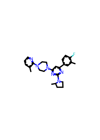 Cc1cc(-c2cc(N3CCN(c4ncccc4C)CC3)nc(N3CCCC3C)n2)ccc1F